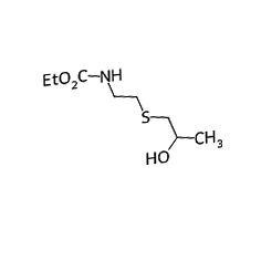 CCOC(=O)NCCSCC(C)O